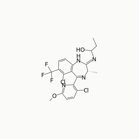 CCC(O)/N=C1\Nc2ccc(C(F)(F)F)c(Cl)c2C(c2nc(OC)ccc2Cl)=N[C@H]1C